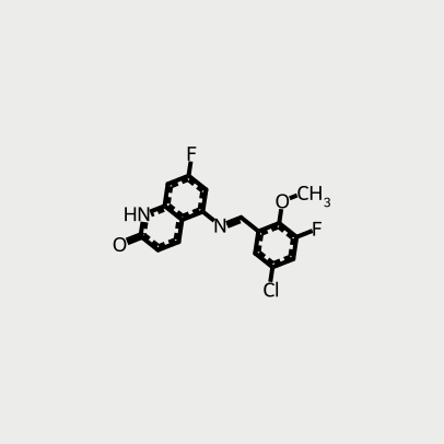 COc1c(F)cc(Cl)cc1C=Nc1cc(F)cc2[nH]c(=O)ccc12